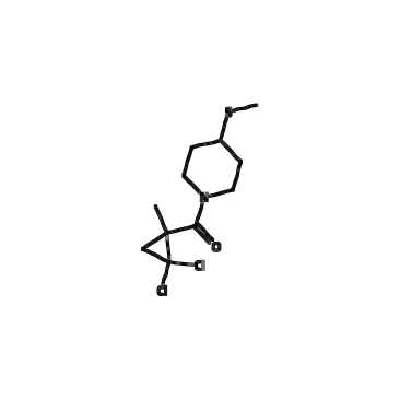 CSC1CCN(C(=O)C2(C)CC2(Cl)Cl)CC1